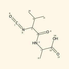 CC(NC(=O)C(N=C=O)C(C)C)C(=O)O